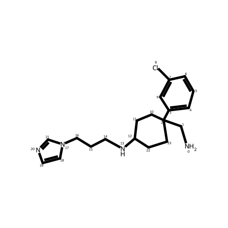 NCC1(c2cccc(Cl)c2)CCC(NCCCn2ccnc2)CC1